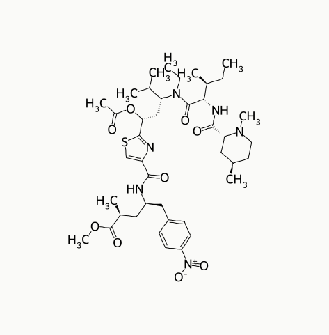 CC[C@H](C)[C@H](NC(=O)[C@H]1C[C@H](C)CCN1C)C(=O)N(CC)[C@H](C[C@@H](OC(C)=O)c1nc(C(=O)N[C@@H](Cc2ccc([N+](=O)[O-])cc2)C[C@H](C)C(=O)OC)cs1)C(C)C